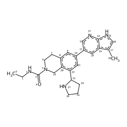 CCNC(=O)N1CCc2cc(-c3cnc4[nH]cc(C)c4c3)cc(C3CCCN3)c2C1